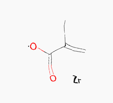 C=C(C)C([O])=O.[Zr]